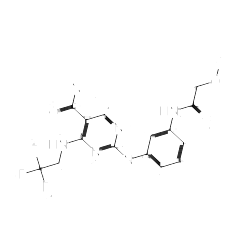 COCC(=O)Nc1cccc(Nc2ncc(C(N)=O)c(NCC(F)(F)F)n2)c1